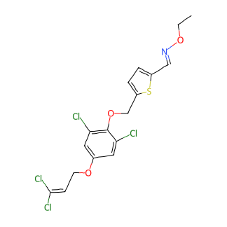 CCO/N=C/c1ccc(COc2c(Cl)cc(OCC=C(Cl)Cl)cc2Cl)s1